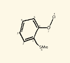 CSc1ccccc1OCl